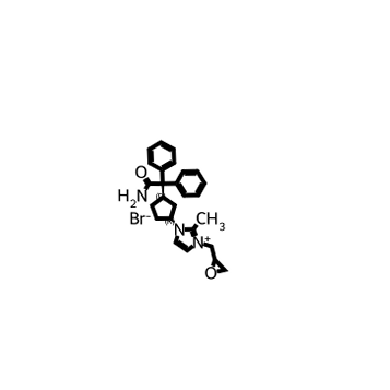 Cc1n([C@@H]2CC[C@@H](C(C(N)=O)(c3ccccc3)c3ccccc3)C2)cc[n+]1CC1CO1.[Br-]